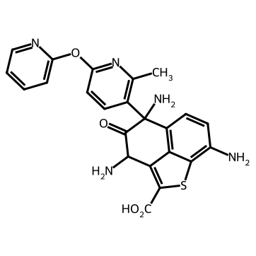 Cc1nc(Oc2ccccn2)ccc1C1(N)C(=O)C(N)c2c(C(=O)O)sc3c(N)ccc1c23